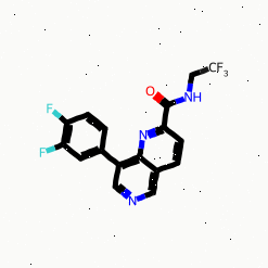 O=C(NCC(F)(F)F)c1ccc2cncc(-c3ccc(F)c(F)c3)c2n1